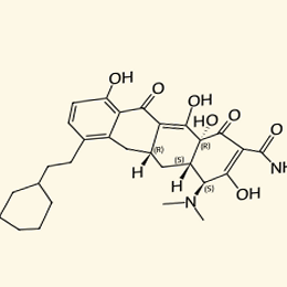 CN(C)[C@@H]1C(O)=C(C(N)=O)C(=O)[C@]2(O)C(O)=C3C(=O)c4c(O)ccc(CCC5CCCCC5)c4C[C@H]3C[C@@H]12